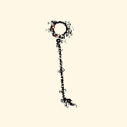 CO[C@H]1C[C@@H]2CC[C@@H](C)[C@@](O)(O2)C(=O)C(=O)N2CCCC[C@H]2C(=O)O[C@H]([C@H](N)C[C@@H]2CC[C@H](n3cc(COC(=O)NCCOCCOCCOCCOCCC(=O)NCCOCCOCCOCCOCCC(=O)NCCCCn4nc(-c5ccc6oc(N)nc6c5)c5c(N)ncnc54)nn3)[C@H](OC)C2)CC(=O)[C@H](C)/C=C(\C)[C@@H](O)[C@@H](OC)C(=O)[C@H](C)C[C@H](C)/C=C/C=C/C=C/1C